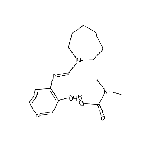 CN(C)C(=O)O.Oc1cnccc1N=CN1CCCCCC1